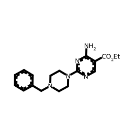 CCOC(=O)c1cnc(N2CCN(Cc3ccccc3)CC2)nc1N